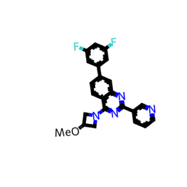 COC1CN(c2nc(-c3cccnc3)nc3cc(-c4cc(F)cc(F)c4)ccc23)C1